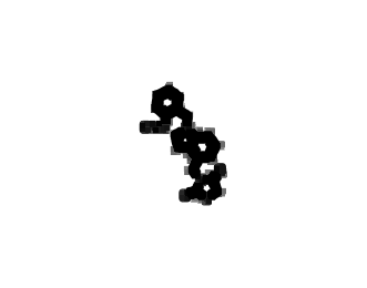 COc1ccccc1Cn1ccc2c(CN3C(=O)CSC3=O)cccc21